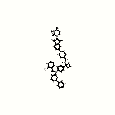 Nc1ncccc1-c1nc2ccc(-c3ccccc3)nc2n1-c1ccc(C2(NCC3CCN(c4ccc5c(c4)C(=O)N(N4CCC(=O)NC4=O)C5=O)CC3)CCC2)cc1